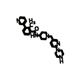 Cc1c(C(=O)NC2CCN(Cc3ccc(N4CCNCC4)nc3)CC2)cccc1-c1cccnc1